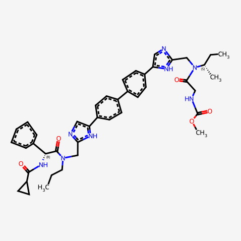 CCCN(Cc1ncc(-c2ccc(-c3ccc(-c4cnc(CN(C(=O)CNC(=O)OC)[C@@H](C)CC)[nH]4)cc3)cc2)[nH]1)C(=O)[C@H](NC(=O)C1CC1)c1ccccc1